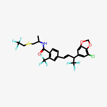 CC(CSCC(F)(F)F)NC(=O)c1ccc(/C=C/C(c2cc(Cl)c3c(c2)OCO3)C(F)(F)F)cc1C(F)(F)F